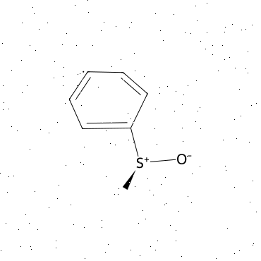 C[S@+]([O-])c1cc[c]cc1